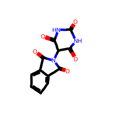 O=C1NC(=O)C(N2C(=O)c3ccccc3C2=O)C(=O)N1